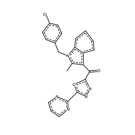 Cc1c(C(=O)c2nnc(-c3ncccn3)o2)c2ccccc2n1Cc1ccc(Cl)cc1